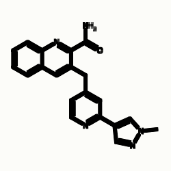 Cn1cc(-c2cc(Cc3cc4ccccc4nc3C(N)=O)ccn2)cn1